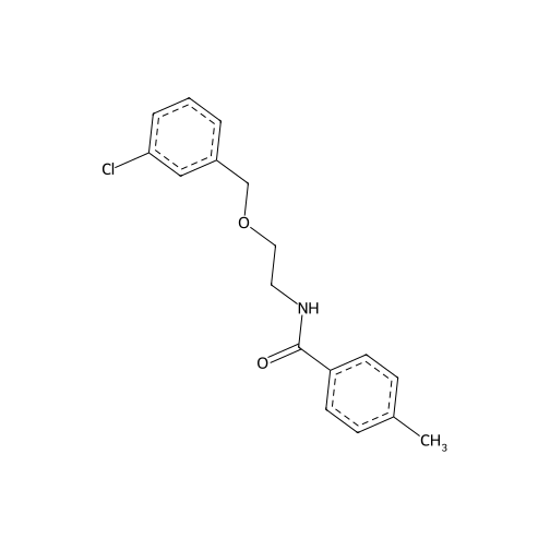 Cc1ccc(C(=O)NCCOCc2cccc(Cl)c2)cc1